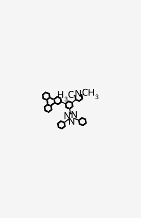 Cc1ccc(-c2cc(-c3ccc4c5ccccc5c5ccccc5c4c3)cc(-c3nc(-c4ccccc4)nc(-c4ccccc4)n3)c2)c(C)n1